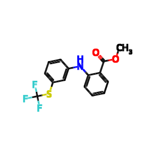 COC(=O)c1ccccc1Nc1cccc(SC(F)(F)F)c1